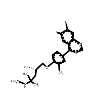 C[C@H](COc1ccc(-c2ncnc3cc(F)c(F)cc23)cc1C(F)(F)F)CC(C)(C)NC(=O)O